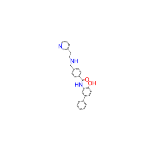 O=C(Nc1cc(-c2ccccc2)ccc1O)c1ccc(CNCCc2cccnc2)cc1